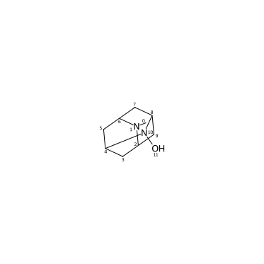 CN1C2CC3CC1CC(C2)N3O